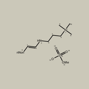 CCCCCCCCCC=CNCCC[N+](C)(C)C.COS(=O)(=O)[O-]